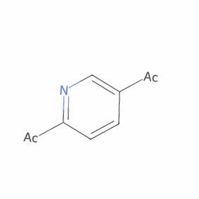 CC(=O)c1ccc(C(C)=O)nc1